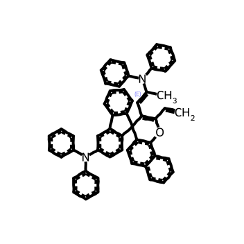 C=CC1=C(/C=C(\C)N(c2ccccc2)c2ccccc2)C2(c3ccccc3-c3cc(N(c4ccccc4)c4ccccc4)ccc32)c2ccc3ccccc3c2O1